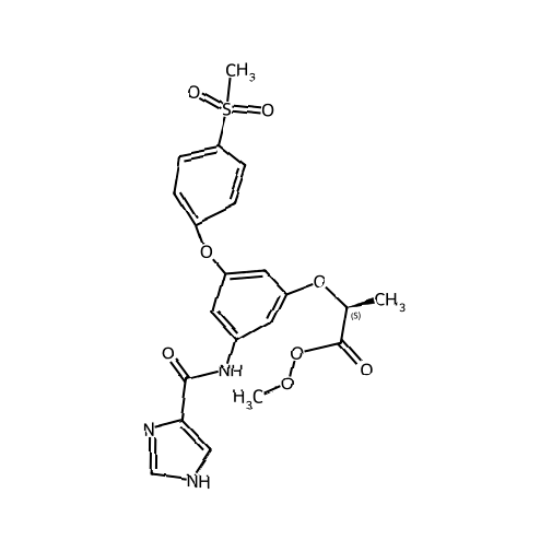 COOC(=O)[C@H](C)Oc1cc(NC(=O)c2c[nH]cn2)cc(Oc2ccc(S(C)(=O)=O)cc2)c1